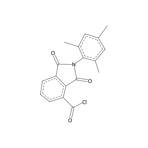 Cc1cc(C)c(N2C(=O)c3cccc(C(=O)Cl)c3C2=O)c(C)c1